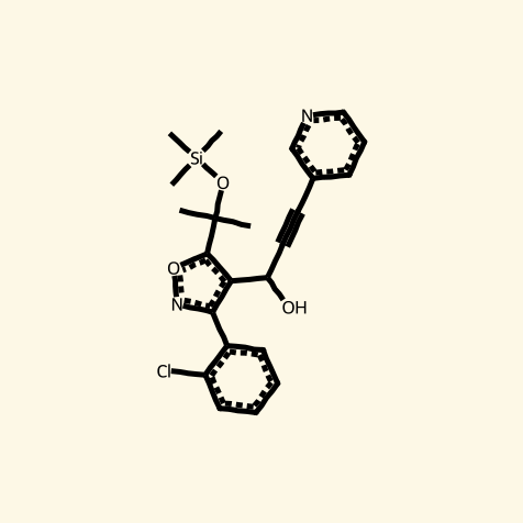 CC(C)(O[Si](C)(C)C)c1onc(-c2ccccc2Cl)c1C(O)C#Cc1cccnc1